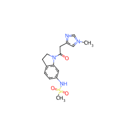 Cn1cnc(CC(=O)N2CCc3ccc(NS(C)(=O)=O)cc32)c1